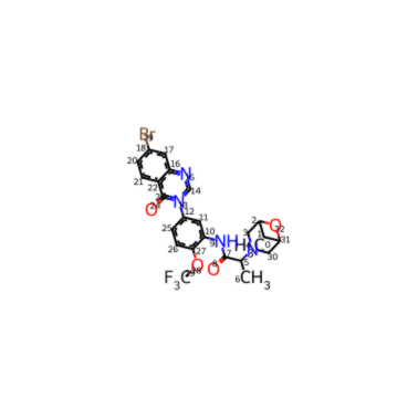 CC1C2CN(C(C)C(=O)Nc3cc(-n4cnc5cc(Br)ccc5c4=O)ccc3OC(F)(F)F)CC1O2